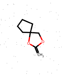 C=C1OCC2(CCCC2)O1